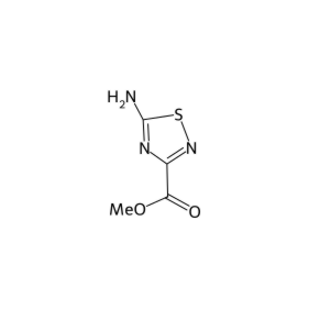 COC(=O)c1nsc(N)n1